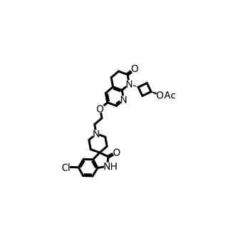 CC(=O)O[C@H]1C[C@H](N2C(=O)CCc3cc(OCCN4CCC5(CC4)C(=O)Nc4ccc(Cl)cc45)cnc32)C1